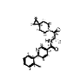 Cc1ccccc1-c1ccc(C(=O)N[C@@H](C)C(=O)N2CCC3(CC2)CC3)cn1